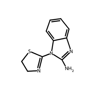 Nc1nc2ccccc2n1C1=NCCS1